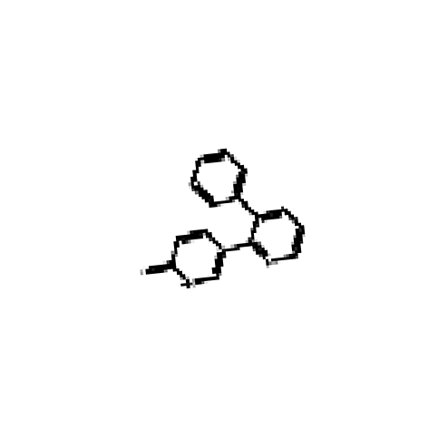 O=c1ccc(-c2ncccc2-c2ccccc2)c[nH]1